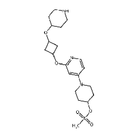 CS(=O)(=O)OC1CCN(c2ccnc(OC3CC(OC4CCNCC4)C3)c2)CC1